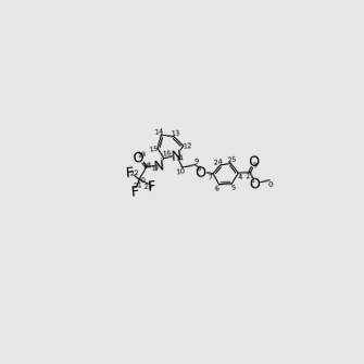 COC(=O)c1ccc(OCCn2cccc/c2=N\C(=O)C(F)(F)F)cc1